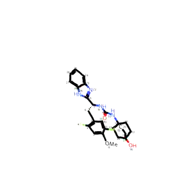 COc1cc(F)c(C[C@@H](NC(=O)NC23CCC(O)(CC2)CC3)c2nc3ccccc3[nH]2)cc1F